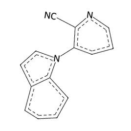 N#Cc1ncccc1-n1ccc2ccccc21